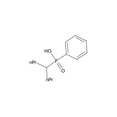 CCCC(CCC)P(=O)(O)c1ccccc1